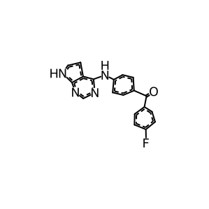 O=C(c1ccc(F)cc1)c1ccc(Nc2ncnc3[nH]ccc23)cc1